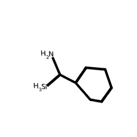 NC([SiH3])C1CCCCC1